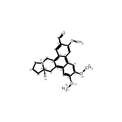 COc1cc2c(cc1C=O)c1c(c3cc(OC)c(OC)cc32)C[C@@H]2CCCN2C1